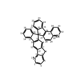 c1cnc2c(c1)Cc1cc3c(cc1-2)-c1ccccc1C31c2ccccc2-c2c1ccc1ncccc21